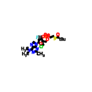 Cc1nc(N(C)C)c2ncn([C@@H]3O[C@]4(CCl)COP(=O)(OCCSC(=O)C(C)(C)C)O[C@H]4[C@@H]3F)c2n1